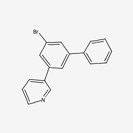 Brc1cc(-c2ccccc2)cc(-c2cccnc2)c1